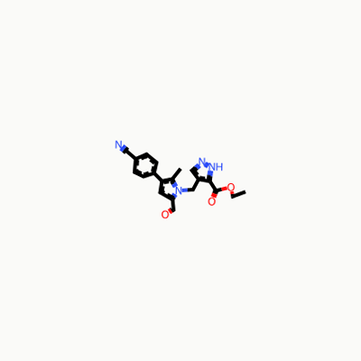 CCOC(=O)c1[nH]ncc1Cn1c(C=O)cc(-c2ccc(C#N)cc2)c1C